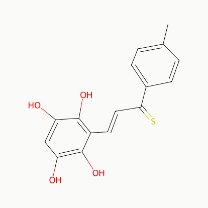 Cc1ccc(C(=S)C=Cc2c(O)c(O)cc(O)c2O)cc1